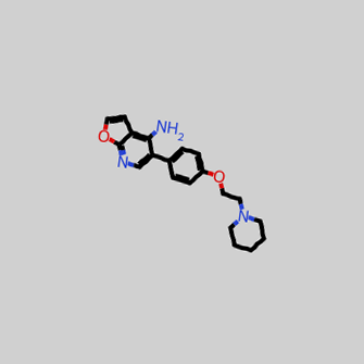 Nc1c(-c2ccc(OCCN3CCCCC3)cc2)cnc2occc12